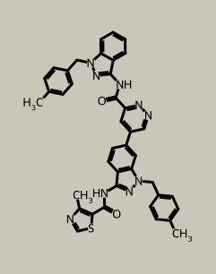 Cc1ccc(Cn2nc(NC(=O)c3cc(-c4ccc5c(NC(=O)c6scnc6C)nn(Cc6ccc(C)cc6)c5c4)cnn3)c3ccccc32)cc1